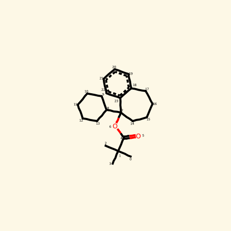 CC(C)(C)C(=O)OC1(C2CCCCC2)CCCCc2ccccc21